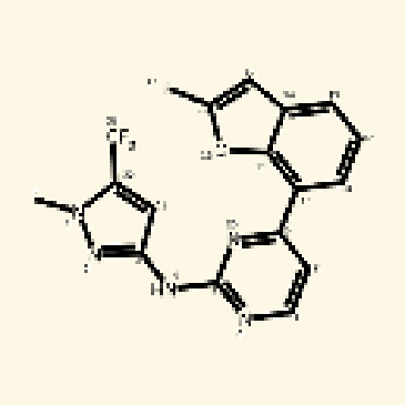 Cn1nc(Nc2nccc(-c3cccc4cc(I)oc34)n2)cc1C(F)(F)F